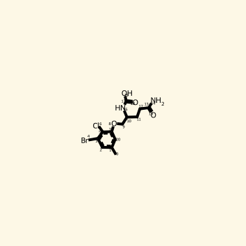 Cc1cc(Br)c(Cl)c(OCC(CCC(N)=O)NC(=O)O)c1